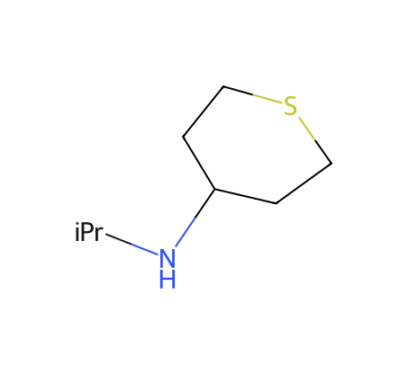 CC(C)NC1CCSCC1